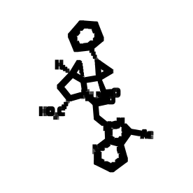 CC(=O)c1nn(CC(=O)N2[C@H](C(=O)O)C[C@H]3C[C@@]32[C@@]2(C(N)=O)C[C@H]2c2ccccc2)c2ncccc12